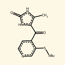 CCCCSc1cnccc1C(=O)c1[nH]c(=O)[nH]c1C